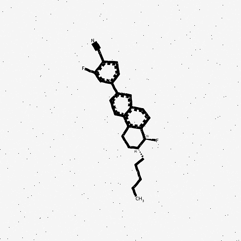 CCCCC[C@@H]1CCc2c(ccc3cc(-c4ccc(C#N)c(F)c4)ccc23)[C@H]1F